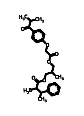 BC(C(=O)OCC(C)COC(=O)COc1ccc(C(=O)C(C)C)cc1)C(C)c1ccccc1